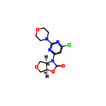 O=C1O[C@H]2COC[C@H]2N1c1cc(Cl)nc(N2CCOCC2)n1